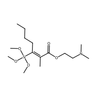 CCCCC(=C(C)C(=O)OCCN(C)C)[Si](OC)(OC)OC